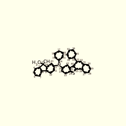 CC1(C)c2ccccc2-c2ccc(N(c3ccccc3)c3ccc4sc5c6ccccc6cc(-c6ccccc6)c5c4c3)cc21